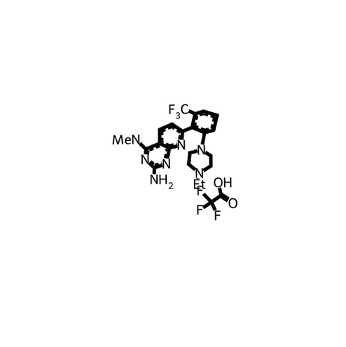 CCN1CCN(c2cccc(C(F)(F)F)c2-c2ccc3c(NC)nc(N)nc3n2)CC1.O=C(O)C(F)(F)F